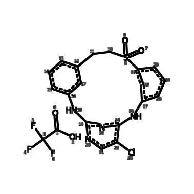 O=C(O)C(F)(F)F.O=S1(=O)CCc2cccc(c2)Nc2ncc(Cl)c(n2)Nc2cccc1c2